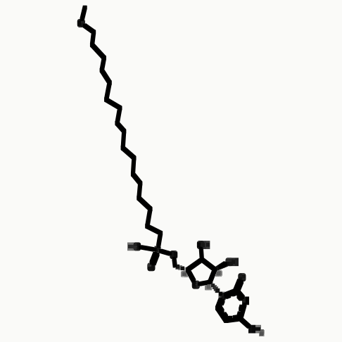 COCCCCCCCCCCCCCCCCCP(=O)(O)OC[C@H]1O[C@@H](n2ccc(N)nc2=O)[C@H](O)C1O